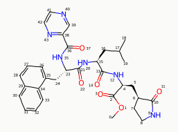 COC(=O)[C@H](C[C@@H]1CCNC1=O)NC(=O)[C@H](CC(C)C)NC(=O)[C@H](Cc1cccc2ccccc12)NC(=O)c1cnccn1